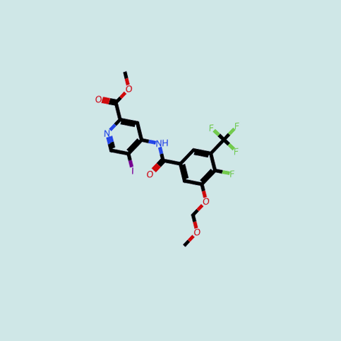 COCOc1cc(C(=O)Nc2cc(C(=O)OC)ncc2I)cc(C(F)(F)F)c1F